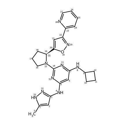 Cc1cc(Nc2cc(NC3CCC3)nc(N3CCC[C@H]3c3cc(-c4ccccn4)no3)n2)n[nH]1